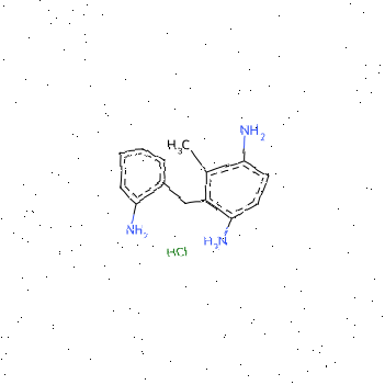 Cc1c(N)ccc(N)c1Cc1ccccc1N.Cl